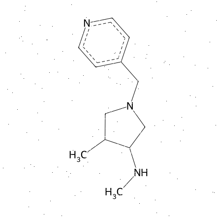 CNC1CN(Cc2ccncc2)CC1C